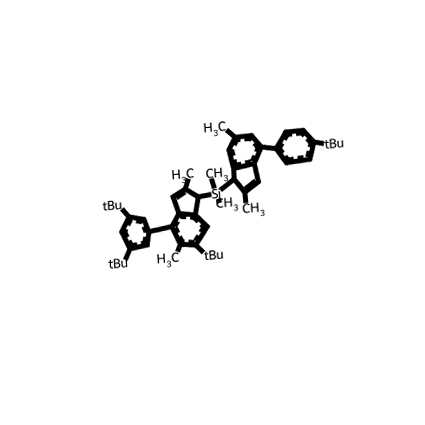 CC1=Cc2c(-c3ccc(C(C)(C)C)cc3)cc(C)cc2C1[Si](C)(C)C1C(C)=Cc2c1cc(C(C)(C)C)c(C)c2-c1cc(C(C)(C)C)cc(C(C)(C)C)c1